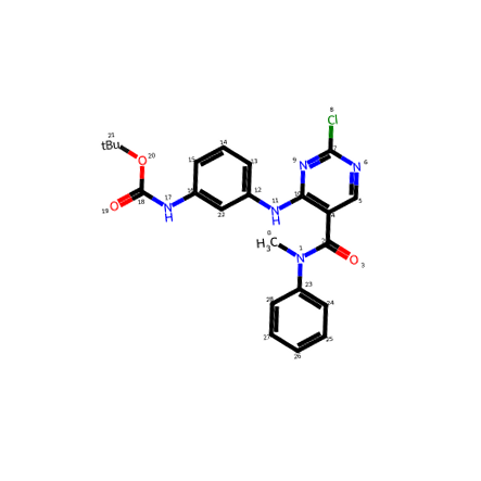 CN(C(=O)c1cnc(Cl)nc1Nc1cccc(NC(=O)OC(C)(C)C)c1)c1ccccc1